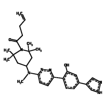 C=CCCC(=O)N1C(C)(C)CC(N(C)c2ccc(-c3ccc(-c4cn[nH]c4)cc3O)nn2)CC1(C)C